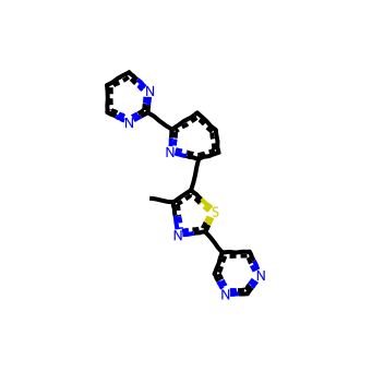 Cc1nc(-c2cncnc2)sc1-c1cccc(-c2ncccn2)n1